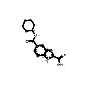 NC(=O)c1nc2cc(C(=O)OC3CCCCC3)ccc2[nH]1